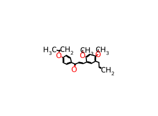 C=CCc1cc(C=CC(=O)c2ccc(OC(=C)C)cc2)c(OC)cc1OC